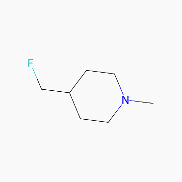 CN1CCC(CF)CC1